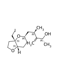 C=C([C@H](C)C[C@H]1CC[C@@H]2OCC[C@]2(CI)O1)[C@@H](C)O